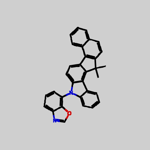 CC1(C)c2ccc3ccccc3c2-c2ccc3c(c21)c1ccccc1n3-c1cccc2ncoc12